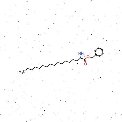 CCCCCCCCCCCCCCCC(N)C(=O)OCc1ccccc1